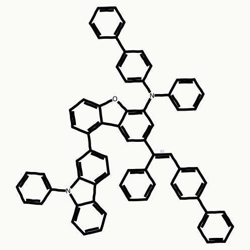 C(=C(/c1ccccc1)c1cc(N(c2ccccc2)c2ccc(-c3ccccc3)cc2)c2oc3cccc(-c4ccc5c6ccccc6n(-c6ccccc6)c5c4)c3c2c1)/c1ccc(-c2ccccc2)cc1